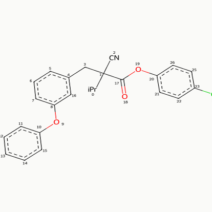 CC(C)C(C#N)(Cc1cccc(Oc2ccccc2)c1)C(=O)Oc1ccc(Cl)cc1